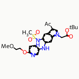 COCCOc1ccc(Nc2cc3c(cc2NS(C)(=O)=O)c(C(C)=O)cn3CC(=O)OC(C)(C)C)cn1